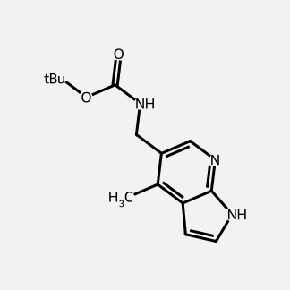 Cc1c(CNC(=O)OC(C)(C)C)cnc2[nH]ccc12